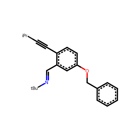 CC(C)C#Cc1ccc(OCc2ccccc2)cc1/C=N/C(C)(C)C